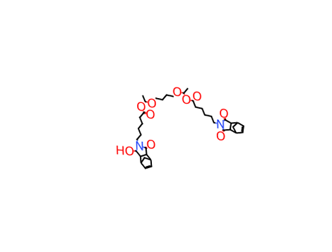 CC(OCCCCOC(C)OC(=O)CCCCCN1C(=O)C2C3C=CC(C3)C2C1O)OC(=O)CCCCCN1C(=O)C2C3C=CC(C3)C2C1=O